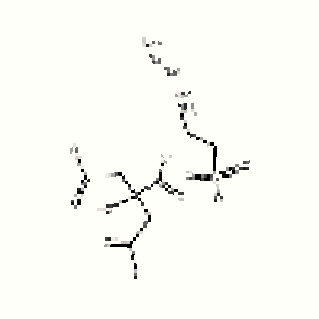 NCCS(=O)(=O)[O-].O=C([O-])CC(O)(CC(=O)[O-])C(=O)[O-].[Na+].[Na+].[Na+].[Na+]